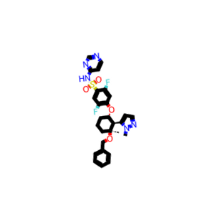 Cn1nccc1[C@@H]1[C@@H](Oc2cc(F)c(S(=O)(=O)Nc3ccncn3)cc2F)CCC[C@]1(C)OCc1ccccc1